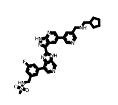 CS(=O)(=O)NCc1cc(F)cc(-c2cncc3[nH]c(-c4n[nH]c5ncc(-c6cncc(CNCC7CCCC7)c6)cc45)nc23)c1